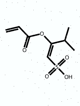 C=CC(=O)OC(=CS(=O)(=O)O)C(C)C